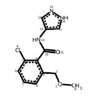 COCc1cccc(Cl)c1C(=O)Nc1cn[nH]c1